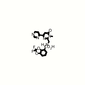 Cn1c(CN)nc(-c2ccncn2)cc1=O.O=C(O)c1cccc2c1OC(F)(F)O2